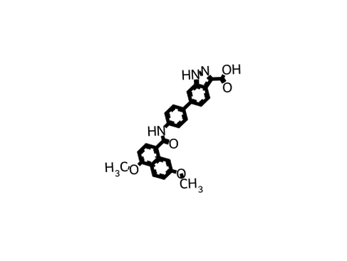 COc1ccc2c(OC)ccc(C(=O)Nc3ccc(-c4ccc5c(C(=O)O)n[nH]c5c4)cc3)c2c1